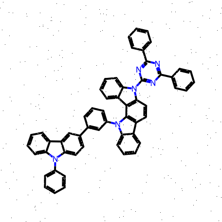 c1ccc(-c2nc(-c3ccccc3)nc(-n3c4ccccc4c4c3ccc3c5ccccc5n(-c5cccc(-c6ccc7c(c6)c6ccccc6n7-c6ccccc6)c5)c34)n2)cc1